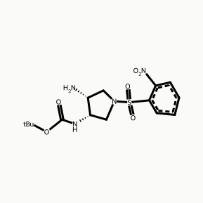 CC(C)(C)OC(=O)N[C@H]1CN(S(=O)(=O)c2ccccc2[N+](=O)[O-])C[C@H]1N